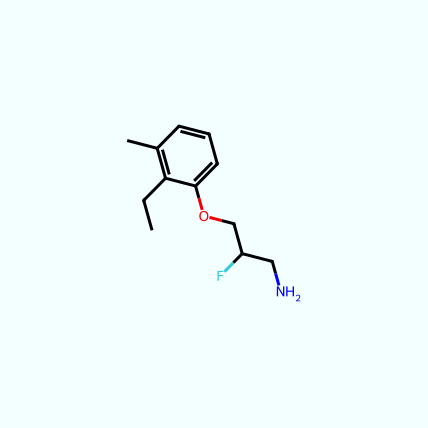 CCc1c(C)cccc1OCC(F)CN